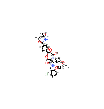 COc1cccc(Cl)c1CNC(=O)C1(C)COc2c(oc3cc(C(=O)NC4(C)COC4)ccc23)C(=O)N1[C@H]1C[C@@H](OC)C1